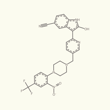 N#Cc1ccc2[nH]c(O)c(-c3ccc(CN4CCN(c5ccc(C(F)(F)F)cc5[N+](=O)[O-])CC4)cn3)c2c1